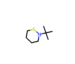 CC(C)(C)N1CCCCS1